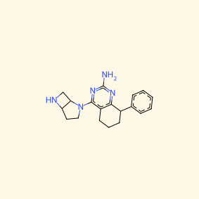 Nc1nc2c(c(N3CCC4NCC43)n1)CCCC2c1ccccc1